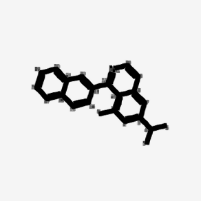 Cc1cc(C(C)C)cc2ccnc(-c3ccc4ccccc4c3)c12